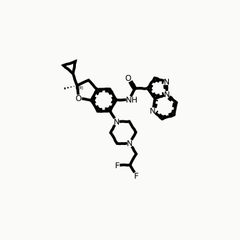 C[C@]1(C2CC2)Cc2cc(NC(=O)c3cnn4cccnc34)c(N3CCN(CC(F)F)CC3)cc2O1